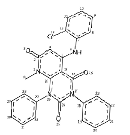 Cn1c(=O)cc(Nc2ccccc2Cl)c2c(=O)n(-c3ccccc3)c(=O)n(-c3ccccc3)c21